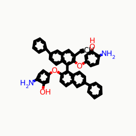 C#Cc1cc2cc(-c3ccccc3)ccc2c(-c2c(Oc3ccc(N)c(O)c3)ccc3cc(-c4ccccc4)ccc23)c1Oc1ccc(N)c(O)c1